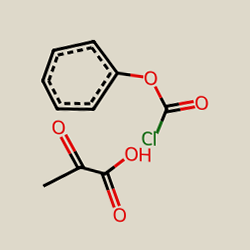 CC(=O)C(=O)O.O=C(Cl)Oc1ccccc1